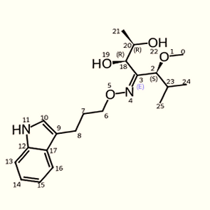 CO[C@H](/C(=N/OCCCc1c[nH]c2ccccc12)[C@@H](O)[C@@H](C)O)C(C)C